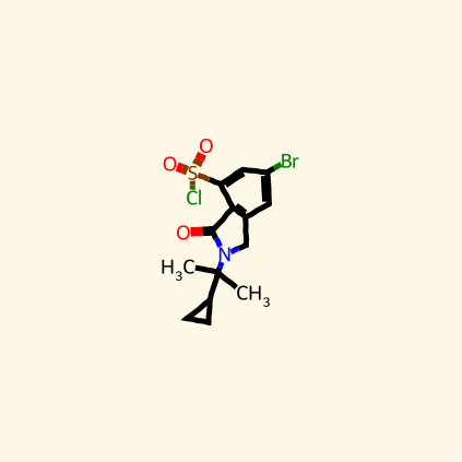 CC(C)(C1CC1)N1Cc2cc(Br)cc(S(=O)(=O)Cl)c2C1=O